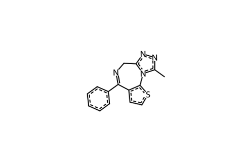 Cc1nnc2n1-c1sccc1C(c1ccccc1)=NC2